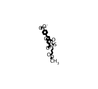 CCOC(=O)CCCN1C(=O)c2cc3oc(-c4ccc([N+](=O)[O-])cc4)cc3c(=O)n2C1=S